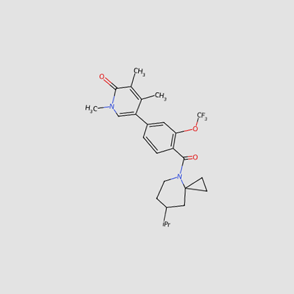 Cc1c(-c2ccc(C(=O)N3CCC(C(C)C)CC34CC4)c(OC(F)(F)F)c2)cn(C)c(=O)c1C